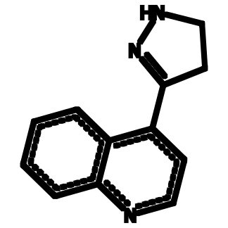 c1ccc2c(C3=NNCC3)ccnc2c1